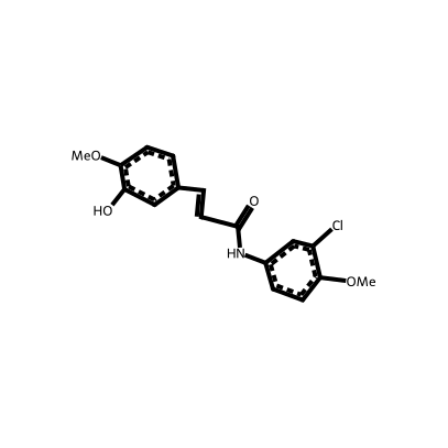 COc1ccc(/C=C/C(=O)Nc2ccc(OC)c(Cl)c2)cc1O